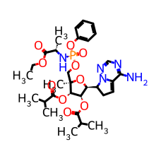 CCOC(=O)[C@H](C)N[P@@](=O)(OC[C@@]1(C)O[C@@H](C2CC=C3C(N)=NC=NN32)[C@H](OC(=O)C(C)C)[C@@H]1OC(=O)C(C)C)Oc1ccccc1